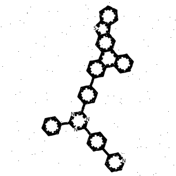 c1ccc(-c2nc(-c3ccc(-c4cccnc4)cc3)nc(-c3ccc(-c4ccc5c(c4)c4ccccc4c4cc6c(cc54)sc4ccccc46)cc3)n2)cc1